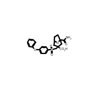 NC(=O)C12CCC(CC(CS(=O)(=O)c3ccc(Oc4ccccc4)cc3)(C(=O)O)C1)O2